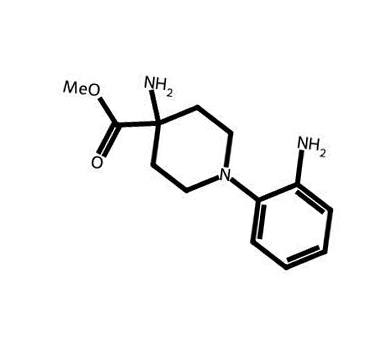 COC(=O)C1(N)CCN(c2ccccc2N)CC1